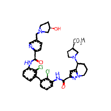 O=C(Nc1cccc(-c2cccc(NC(=O)c3cc4n(n3)CCCC4N3CC[C@@H](C(=O)O)C3)c2Cl)c1Cl)c1ccc(CN2CC[C@@H](O)C2)cn1